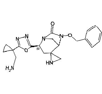 NCC1(c2nnc([C@@H]3CC4(CN4)C4CN3C(=O)N4OCc3ccccc3)o2)CC1